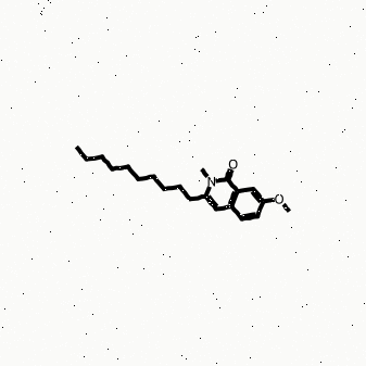 CCCCCCCCCCc1cc2ccc(OC)cc2c(=O)n1C